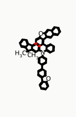 CC1(C)c2ccccc2-c2ccc(N(c3ccc(-c4ccc5c(c4)oc4ccccc45)cc3)c3ccccc3-c3cccc4oc5cc6ccccc6cc5c34)cc21